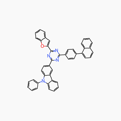 c1ccc(-n2c3ccccc3c3cc(-c4nc(-c5ccc(-c6cccc7ccccc67)cc5)nc(-c5cc6ccccc6o5)n4)ccc32)cc1